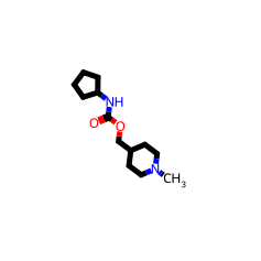 CN1CCC(COC(=O)NC2CCCC2)CC1